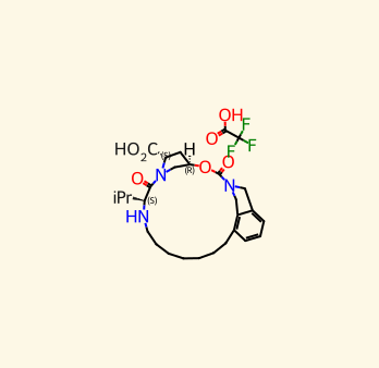 CC(C)[C@@H]1NCCCCCCCc2cccc3c2CN(C3)C(=O)O[C@@H]2C[C@@H](C(=O)O)N(C2)C1=O.O=C(O)C(F)(F)F